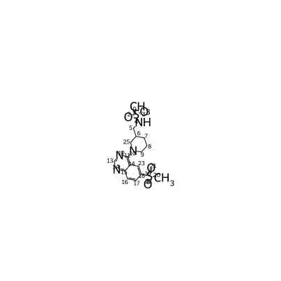 CS(=O)(=O)NCC1CCCN(c2ncnc3ccc(S(C)(=O)=O)cc23)C1